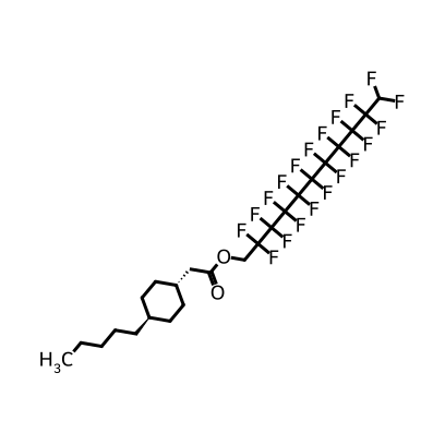 CCCCC[C@H]1CC[C@H](CC(=O)OCC(F)(F)C(F)(F)C(F)(F)C(F)(F)C(F)(F)C(F)(F)C(F)(F)C(F)(F)C(F)(F)C(F)F)CC1